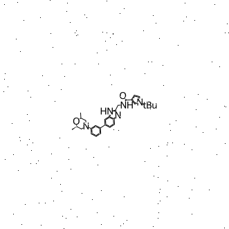 CC1CN(c2cccc(-c3ccc4nc(CNC(=O)c5ccn(C(C)(C)C)c5)[nH]c4c3)c2)C[C@@H](C)O1